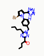 CCCCc1nc(C(=O)CCC)nn1Cc1ccc(-n2c(Br)ccc2-c2nnn[nH]2)cc1